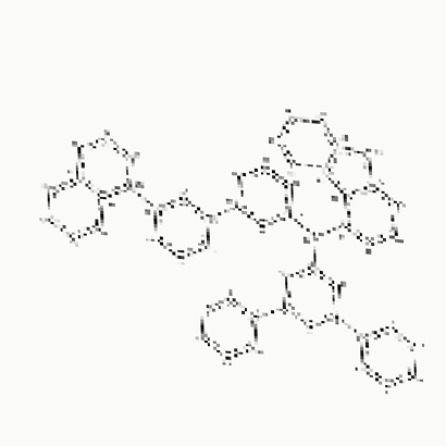 c1ccc(-c2cc(-c3ccccc3)cc(N(c3cccc(-c4cccc(-c5cccc6ccccc56)c4)c3)c3cccc4oc5ccccc5c34)c2)cc1